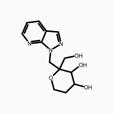 OCC1(Cn2ncc3cccnc32)OCCC(O)C1O